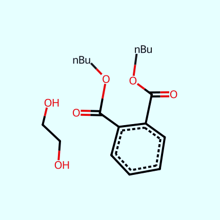 CCCCOC(=O)c1ccccc1C(=O)OCCCC.OCCO